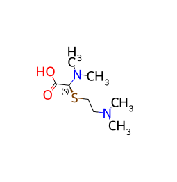 CN(C)CCS[C@@H](C(=O)O)N(C)C